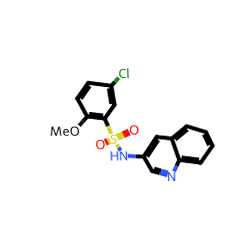 COc1ccc(Cl)cc1S(=O)(=O)Nc1cnc2ccccc2c1